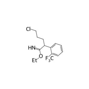 CCOC(=N)C(CCCCl)c1ccccc1C(F)(F)F